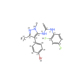 C=C(Nc1ccc(F)cc1F)Nc1c(-c2ccc(Br)cc2)c(C(F)(F)F)nn1C